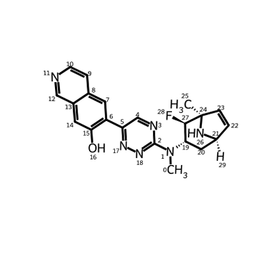 CN(c1ncc(-c2cc3ccncc3cc2O)nn1)[C@H]1C[C@@H]2C=C[C@@](C)(N2)[C@@H]1F